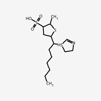 CCCCCCC(C1CC(S(=O)(=O)O)C(C)S1)[SH]1C=NCC1